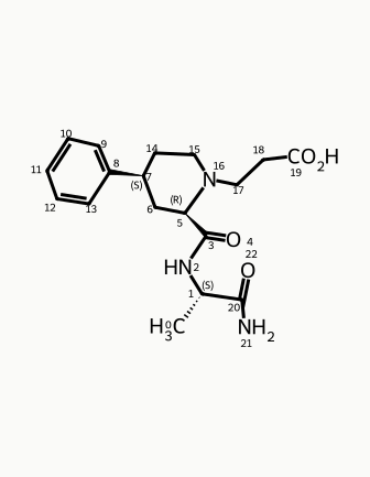 C[C@H](NC(=O)[C@H]1C[C@@H](c2ccccc2)CCN1CCC(=O)O)C(N)=O